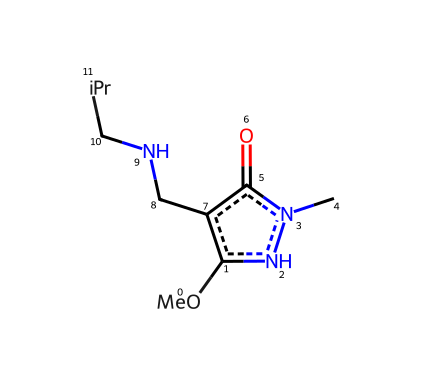 COc1[nH]n(C)c(=O)c1CNCC(C)C